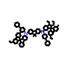 C=CC1=C(/C=C\C)C(c2ccc(C=C)cc2)(c2cc(C)ccc2C)c2cc(N(c3ccc(-c4ccccc4)cc3)c3ccc4c(c3)C(C)(C)c3cc(N(c5ccc(-c6ccccc6)cc5)c5ccc6c(c5)C(c5ccc(C=C)cc5)(c5cc(C)ccc5C)c5ccccc5-6)ccc3-4)ccc21